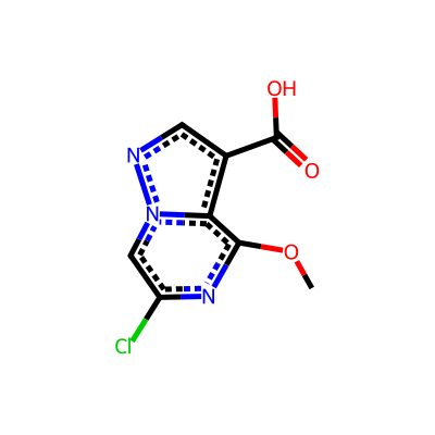 COc1nc(Cl)cn2ncc(C(=O)O)c12